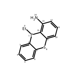 CCP1c2ccccc2Sc2cccc(N)c21